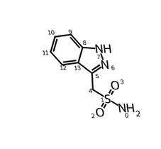 NS(=O)(=O)Cc1n[nH]c2ccccc12